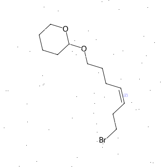 BrCC/C=C\CCCOC1CCCCO1